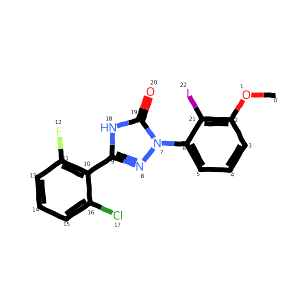 COc1cccc(-n2nc(-c3c(F)cccc3Cl)[nH]c2=O)c1I